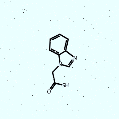 O=C(S)Cn1cnc2ccccc21